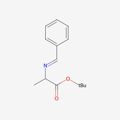 CC(N=Cc1ccccc1)C(=O)OC(C)(C)C